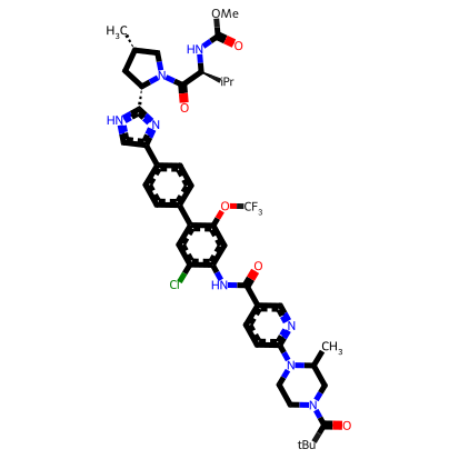 COC(=O)N[C@H](C(=O)N1C[C@@H](C)C[C@H]1c1nc(-c2ccc(-c3cc(Cl)c(NC(=O)c4ccc(N5CCN(C(=O)C(C)(C)C)CC5C)nc4)cc3OC(F)(F)F)cc2)c[nH]1)C(C)C